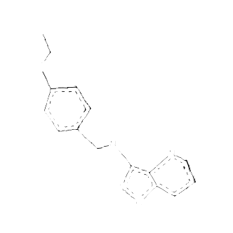 FCSc1ccc(CNc2noc3cccnc23)cc1